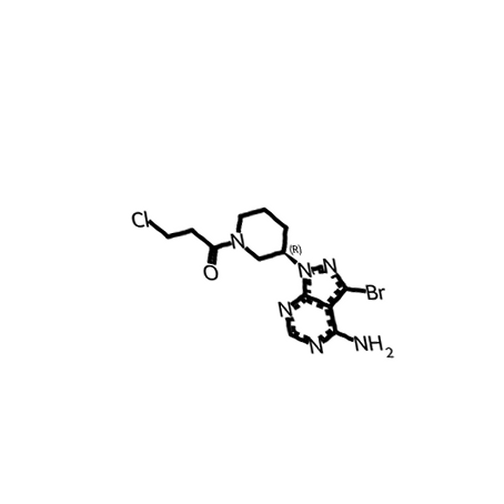 Nc1ncnc2c1c(Br)nn2[C@@H]1CCCN(C(=O)CCCl)C1